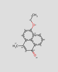 CCOc1ccc2c3c(cccc13)C(=O)C=C2C